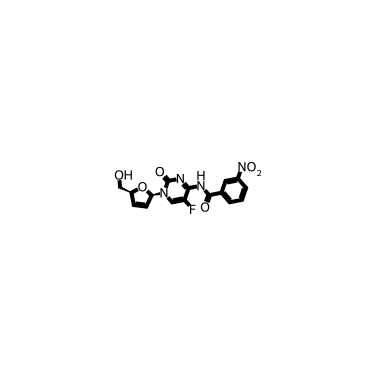 O=C(Nc1nc(=O)n([C@H]2C=C[C@@H](CO)O2)cc1F)c1cccc([N+](=O)[O-])c1